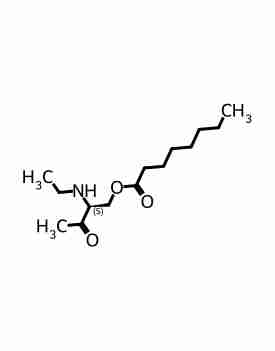 CCCCCCCC(=O)OC[C@H](NCC)C(C)=O